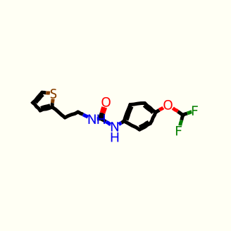 O=C(NCCc1cccs1)Nc1ccc(OC(F)F)cc1